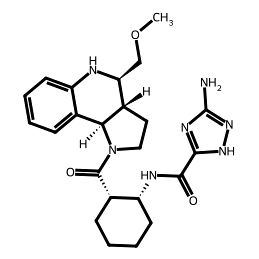 COC[C@@H]1Nc2ccccc2[C@H]2[C@H]1CCN2C(=O)[C@H]1CCCC[C@H]1NC(=O)c1nc(N)n[nH]1